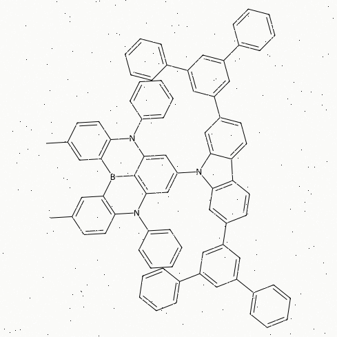 Cc1ccc2c(c1)B1c3cc(C)ccc3N(c3ccccc3)c3cc(-n4c5cc(-c6cc(-c7ccccc7)cc(-c7ccccc7)c6)ccc5c5ccc(-c6cc(-c7ccccc7)cc(-c7ccccc7)c6)cc54)cc(c31)N2c1ccccc1